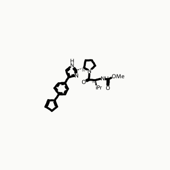 COC(=O)N[C@H](C(=O)N1CCC[C@H]1c1nc(-c2ccc(C3=CCC=C3)cc2)c[nH]1)C(C)C